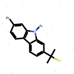 CC(=O)n1c2cc(C(C)C)ccc2c2ccc(C(C)(C)S)cc21